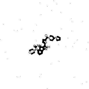 NC(=O)N(c1cccc2c1C(=O)c1c-2n[nH]c1-c1ccc(C(=O)N2CCC(N3CCCC3)CC2)s1)N1CCOCC1